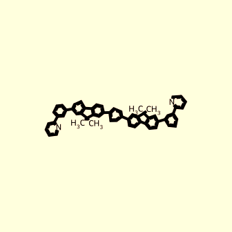 CC1(C)c2cc(-c3ccc(-c4ccc5c(c4)C(C)(C)c4cc(-c6cccc(-c7ccccn7)c6)ccc4-5)cc3)ccc2-c2ccc(-c3cccc(-c4ccccn4)c3)cc21